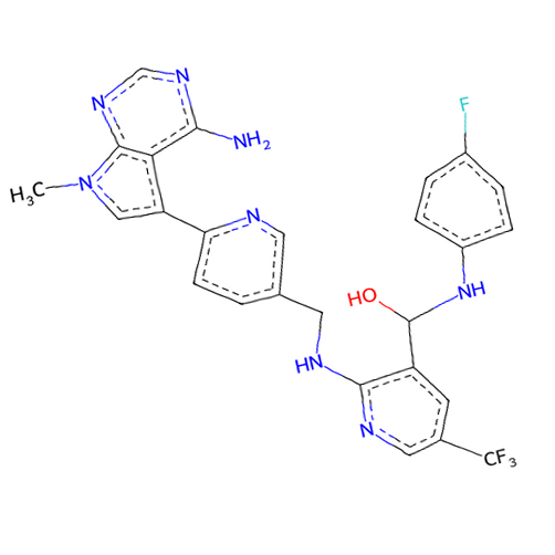 Cn1cc(-c2ccc(CNc3ncc(C(F)(F)F)cc3C(O)Nc3ccc(F)cc3)cn2)c2c(N)ncnc21